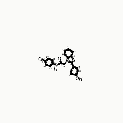 O=C(Cn1c(-c2ccc(O)cc2)nc2ccccc21)Nc1ccc(Cl)cc1